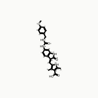 COc1ccc(CNC(=O)Nc2ccc3c(c2)NC(=O)C3=Cc2[nH]c(C)c(C(=O)O)c2C)cc1